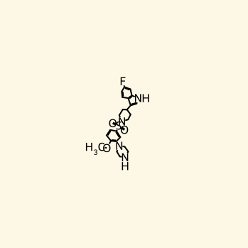 COc1ccc(S(=O)(=O)N2CCC(c3c[nH]c4cc(F)ccc34)CC2)cc1N1CCNCC1